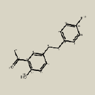 CC(=O)c1cc(CCc2ccc(F)cc2)ccc1O